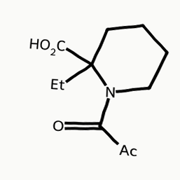 CCC1(C(=O)O)CCCCN1C(=O)C(C)=O